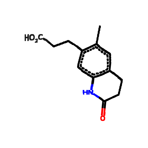 Cc1cc2c(cc1CCC(=O)O)NC(=O)CC2